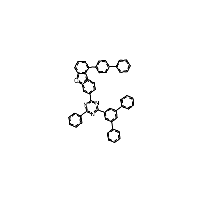 c1ccc(-c2ccc(-c3cccc4oc5cc(-c6nc(-c7ccccc7)nc(-c7cc(-c8ccccc8)cc(-c8ccccc8)c7)n6)ccc5c34)cc2)cc1